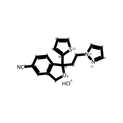 Cl.N#Cc1ccc2c(c1)COC2(CCn1cccn1)c1cccs1